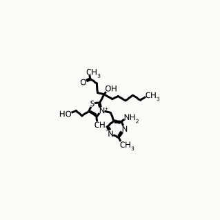 CCCCCCC(O)(CCC(C)=O)c1sc(CCO)c(C)[n+]1Cc1cnc(C)nc1N